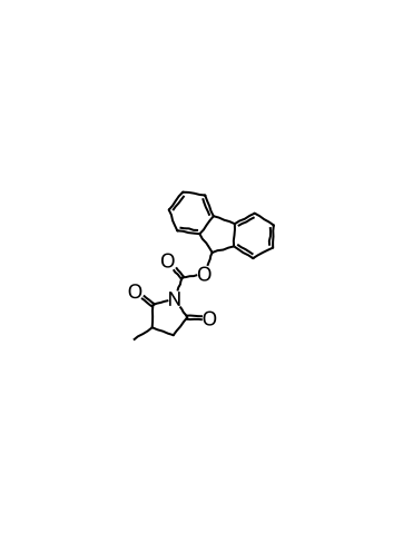 CC1CC(=O)N(C(=O)OC2c3ccccc3-c3ccccc32)C1=O